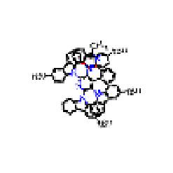 Cc1cccc(-c2ccccc2-c2c(-n3c4ccccc4c4cc(C(C)(C)C)ccc43)c(-n3c4ccccc4c4cc(C(C)(C)C)ccc43)nc(-n3c4ccccc4c4cc(C(C)(C)C)ccc43)c2-n2c3ccccc3c3cc(C(C)(C)C)ccc32)n1